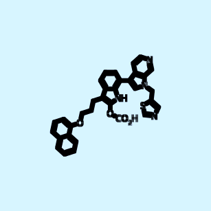 O=C(O)Oc1[nH]c2c(-c3cn(Cc4cncs4)c4cnccc34)cccc2c1CCCOc1cccc2ccccc12